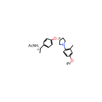 CC(=O)N[C@@H](C)c1ccc(O[C@@H]2CCN(c3ccc(OC(C)C)cc3C)C2)cc1